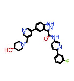 O=C(Nc1ccc(-c2cccc(F)c2)nc1)c1n[nH]c2ccc(-c3cncc(CN4CCC(O)CC4)c3)cc12